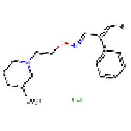 CCC=C(C=NOCCN1CCCC(C(=O)O)C1)c1ccccc1.Cl